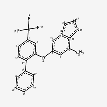 Cc1cc(Oc2cc(C(F)(F)F)ccc2-c2cncnc2)nn2cnnc12